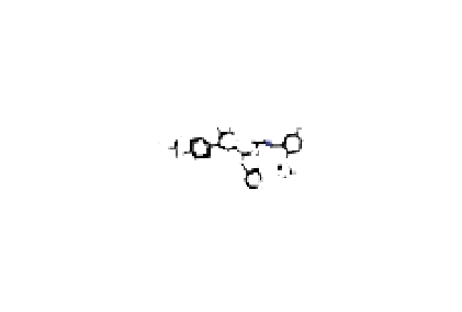 COC(=O)Nc1ccc(-c2cc([C@H](Cc3ccncc3)NC(=O)/C=C/c3cc(Cl)ccc3-n3cnnn3)nnc2Cl)cc1